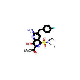 COC(=O)c1nc(S(=O)(=O)N(C)C)c2cc(Cc3ccc(F)cc3)c(N)nc2c1O